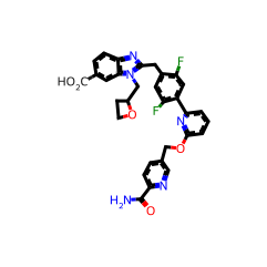 NC(=O)c1ccc(COc2cccc(-c3cc(F)c(Cc4nc5ccc(C(=O)O)cc5n4CC4CCO4)cc3F)n2)cn1